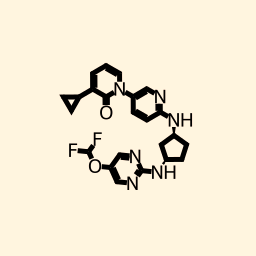 O=c1c(C2CC2)cccn1-c1ccc(N[C@H]2CC[C@H](Nc3ncc(OC(F)F)cn3)C2)nc1